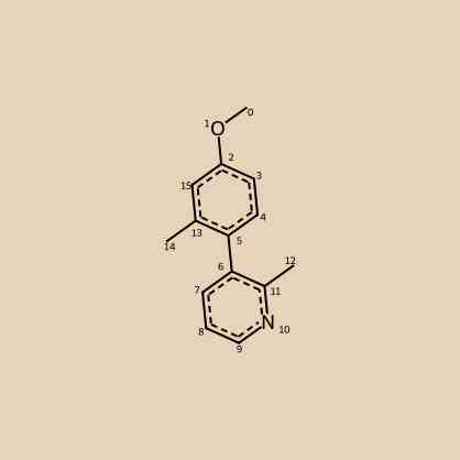 COc1ccc(-c2cccnc2C)c(C)c1